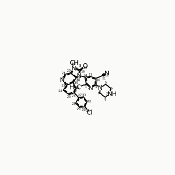 Cc1nc(N2CCNCC2)c(C#N)cc1-n1c(=O)n(C)c2cnc3ccc(-c4ccc(Cl)cc4)cc3c21